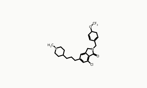 CN1CCC(CCCc2cc(Cl)c3c(c2)CN(CC2=CCC(OC(F)(F)F)C=C2)C3=O)CC1